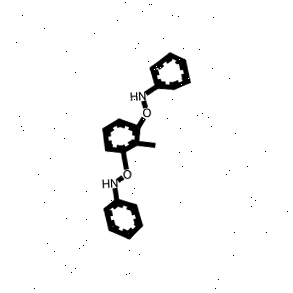 Cc1c(ONc2ccccc2)cccc1ONc1ccccc1